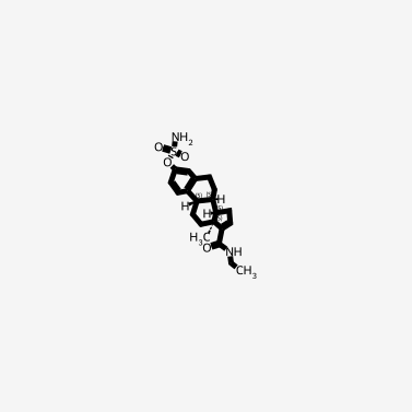 CCNC(=O)C1=CC[C@H]2[C@@H]3CCc4cc(OS(N)(=O)=O)ccc4[C@H]3CC[C@]12C